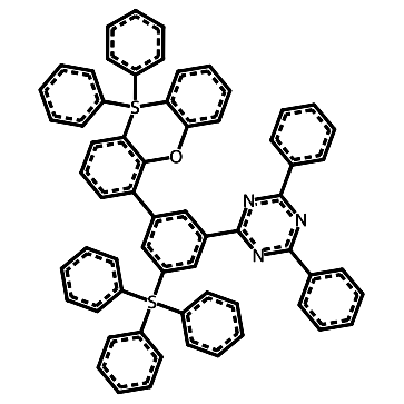 c1ccc(-c2nc(-c3ccccc3)nc(-c3cc(-c4cccc5c4Oc4ccccc4S5(c4ccccc4)c4ccccc4)cc(S(c4ccccc4)(c4ccccc4)c4ccccc4)c3)n2)cc1